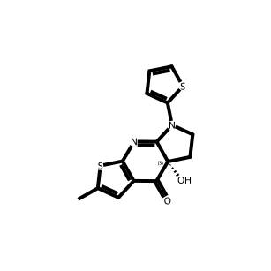 Cc1cc2c(s1)N=C1N(c3cccs3)CC[C@@]1(O)C2=O